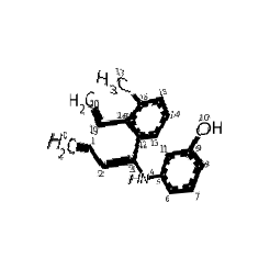 C=C/C=C(/Nc1cccc(O)c1)c1cccc(C)c1C=C